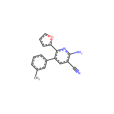 Cc1cccc(-c2cc(C#N)c(N)nc2-c2ccco2)c1